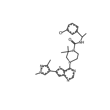 Cc1nn(C)cc1-c1cc2ncnc(N3CCN(C(=O)NC(C)c4cccc(Cl)c4)C(C)(C)C3)c2s1